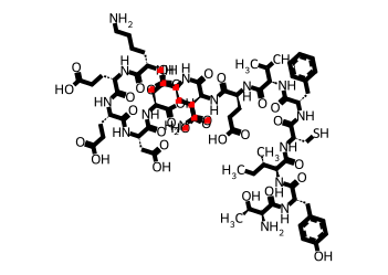 CC[C@H](C)[C@H](NC(=O)[C@H](Cc1ccc(O)cc1)NC(=O)[C@@H](N)[C@@H](C)O)C(=O)N[C@@H](CS)C(=O)N[C@@H](Cc1ccccc1)C(=O)N[C@H](C(=O)N[C@@H](CCC(=O)O)C(=O)N[C@@H](CC(=O)O)C(=O)N[C@@H](CCC(N)=O)C(=O)N[C@@H](CCCCN)C(=O)N[C@@H](CCC(=O)O)C(=O)N[C@@H](CCC(=O)O)C(=O)N[C@@H](CC(=O)O)C(=O)N[C@@H](CC(=O)O)C(=O)O)C(C)C